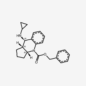 O=C(OCc1ccccc1)N1c2ccccc2[C@H](NC2CC2)[C@H]2CCC[C@H]21